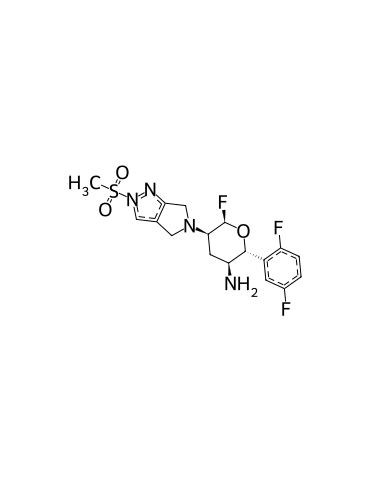 CS(=O)(=O)n1cc2c(n1)CN([C@@H]1C[C@H](N)[C@@H](c3cc(F)ccc3F)O[C@@H]1F)C2